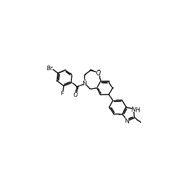 Cc1nc2ccc(C3C=C4CN(C(=O)c5ccc(Br)cc5F)CCOC4=CC3)cc2[nH]1